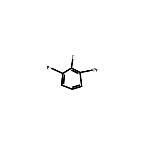 CC(C)c1cccc(Br)c1F